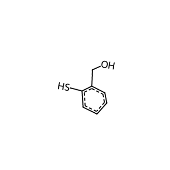 OCc1ccccc1S